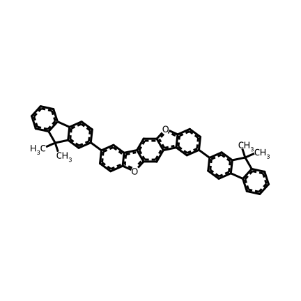 CC1(C)c2ccccc2-c2ccc(-c3ccc4oc5cc6c(cc5c4c3)oc3ccc(-c4ccc5c(c4)C(C)(C)c4ccccc4-5)cc36)cc21